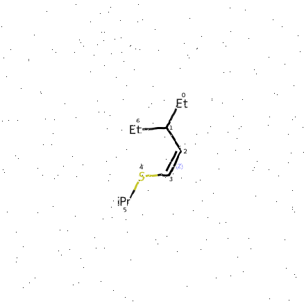 CCC(/C=C\SC(C)C)CC